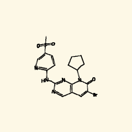 CS(=O)(=O)c1ccc(Nc2ncc3cc(Br)c(=O)n(C4CCCC4)c3n2)nc1